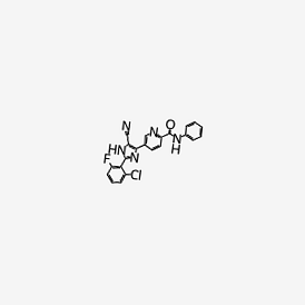 N#Cc1[nH]c(-c2c(F)cccc2Cl)nc1-c1ccc(C(=O)Nc2ccccc2)nc1